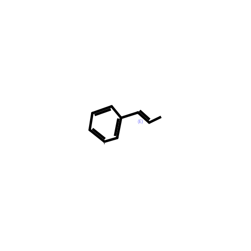 C/C=C/c1c[c]ccc1